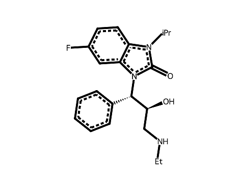 CCNC[C@H](O)[C@H](c1ccccc1)n1c(=O)n(C(C)C)c2ccc(F)cc21